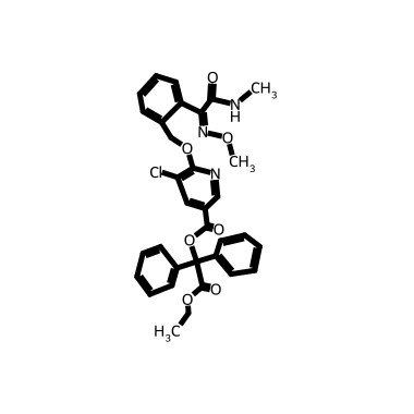 CCOC(=O)C(OC(=O)c1cnc(OCc2ccccc2C(=NOC)C(=O)NC)c(Cl)c1)(c1ccccc1)c1ccccc1